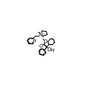 C[N+]1(CCc2ccccn2)CCC[C@@H]1COC(=O)C(O)(c1ccccc1)C1CCCCC1